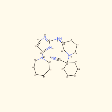 N#CC1(N2CCC[C@H](Nc3nccc(N4CCCCCC4)n3)C2)CCCCC1